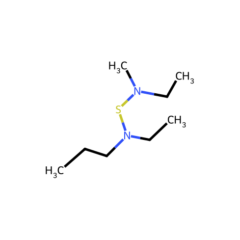 CCCN(CC)SN(C)CC